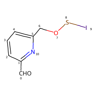 O=Cc1cccc(COSI)n1